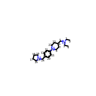 CCN(CC)CC1CCN(c2ccc(CN3CCCC3)cc2)CC1